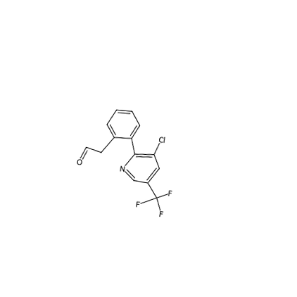 O=CCc1ccccc1-c1ncc(C(F)(F)F)cc1Cl